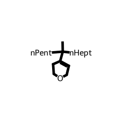 CCCCCCCC(C)(CCCCC)C1=CCOCC1